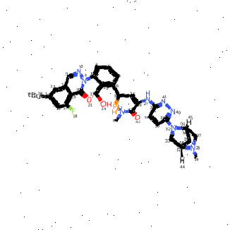 CN1PC(c2cccc(-n3ncc4cc(C(C)(C)C)cc(F)c4c3=O)c2CO)C=C(Nc2ccc(N3C[C@@H]4C[C@H]3CN4C)nn2)C1=O